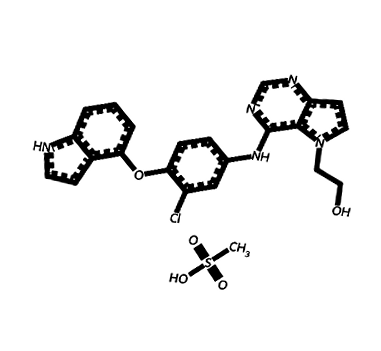 CS(=O)(=O)O.OCCn1ccc2ncnc(Nc3ccc(Oc4cccc5[nH]ccc45)c(Cl)c3)c21